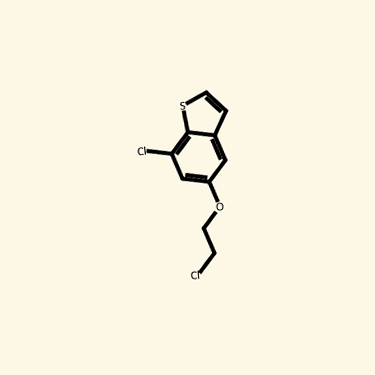 ClCCOc1cc(Cl)c2sccc2c1